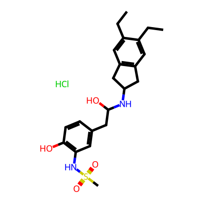 CCc1cc2c(cc1CC)CC(NC(O)Cc1ccc(O)c(NS(C)(=O)=O)c1)C2.Cl